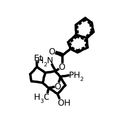 CCC1CCC2C1C(N)(OC(=O)c1ccc3ccccc3c1)C1(P)CC(O)C2(C)O1